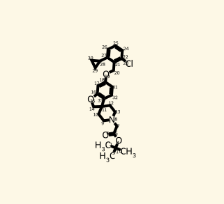 CC(C)(C)OC(=O)CN1CCC2(CC1)COc1cc(OCc3c(Cl)cccc3C3CC3)ccc12